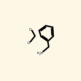 ClCCl.NCc1ccccc1